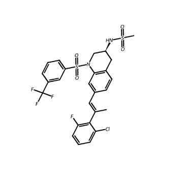 C/C(=C\c1ccc2c(c1)N(S(=O)(=O)c1cccc(C(F)(F)F)c1)C[C@@H](NS(C)(=O)=O)C2)c1c(F)cccc1Cl